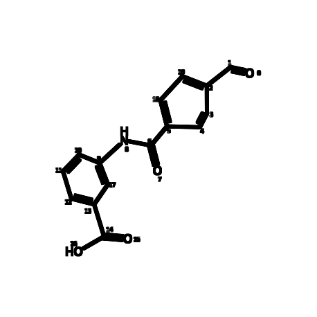 O=Cc1ccc(C(=O)Nc2cccc(C(=O)O)c2)cc1